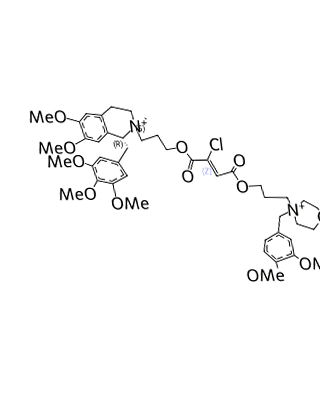 COc1ccc(C[N+]2(CCCOC(=O)/C=C(\Cl)C(=O)OCCC[N@+]3(C)CCc4cc(OC)c(OC)cc4[C@H]3Cc3cc(OC)c(OC)c(OC)c3)CCOCC2)cc1OC